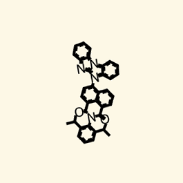 CC(C)c1cccc(C(C)C)c1N1C(=O)c2cccc3c(-n4c5ccccc5n5c6ccccc6nc45)ccc(c23)C1=O